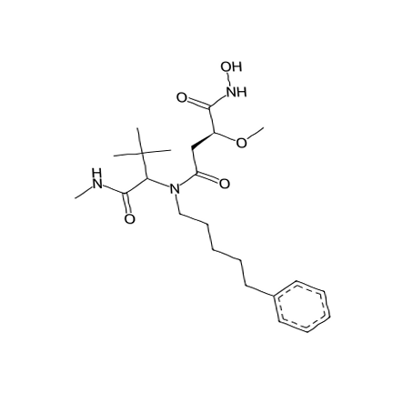 CNC(=O)C(N(CCCCCc1ccccc1)C(=O)C[C@H](OC)C(=O)NO)C(C)(C)C